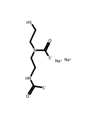 O=C([S-])NCCN(CCS)C(=O)[S-].[Na+].[Na+]